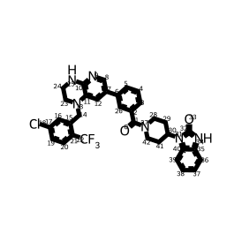 O=C(c1cccc(-c2cnc3c(c2)N(Cc2cc(Cl)ccc2C(F)(F)F)CCN3)c1)N1CCC(n2c(=O)[nH]c3ccccc32)CC1